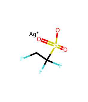 O=S(=O)([O-])C(F)(F)CF.[Ag+]